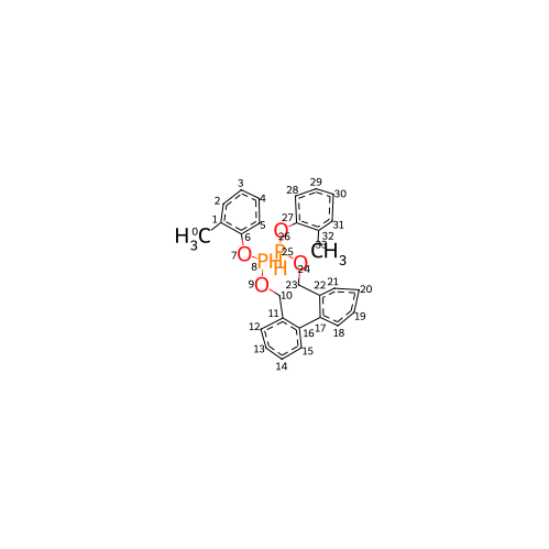 Cc1ccccc1OPOCc1ccccc1-c1ccccc1COPOc1ccccc1C